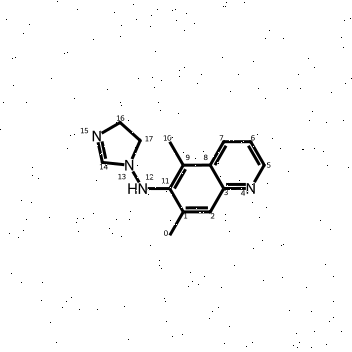 Cc1cc2ncccc2c(C)c1NN1C=NCC1